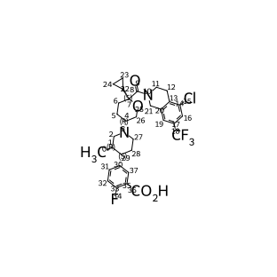 C[C@H]1CN([C@@H]2CC[C@@](C(=O)N3CCc4c(Cl)cc(C(F)(F)F)cc4C3)(C3CC3)OC2)CC[C@@H]1c1ccc(F)c(C(=O)O)c1